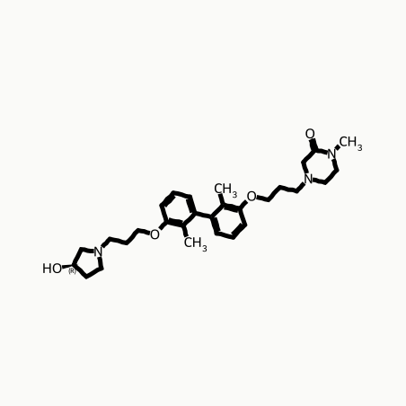 Cc1c(OCCCN2CCN(C)C(=O)C2)cccc1-c1cccc(OCCCN2CC[C@@H](O)C2)c1C